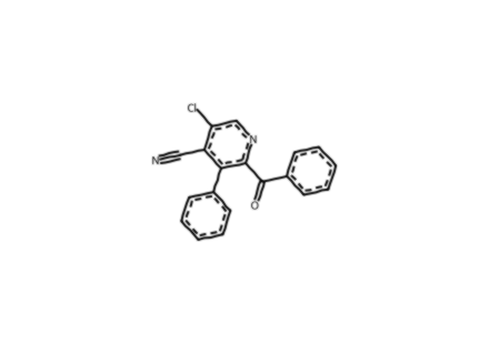 N#Cc1c(Cl)cnc(C(=O)c2ccccc2)c1-c1ccccc1